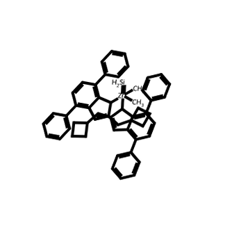 [CH3][Zr]([CH3])(=[SiH2])([CH]1C(CC2CCC2)=Cc2c(-c3ccccc3)ccc(-c3ccccc3)c21)[CH]1C(CC2CCC2)=Cc2c(-c3ccccc3)ccc(-c3ccccc3)c21